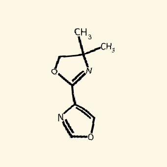 CC1(C)COC(c2cocn2)=N1